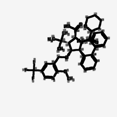 COc1ncc(C(F)(F)F)cc1CO[C@H]1[C@H](C(C)(C)C)[C@@H](C(=O)O)N(C(=O)[C@@H]2CCCCO2)[C@H]1c1ccccc1-c1ccccc1C